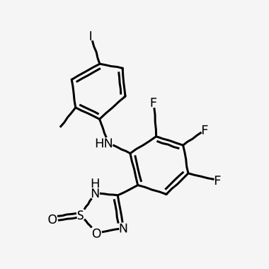 Cc1cc(I)ccc1Nc1c(C2=NOS(=O)N2)cc(F)c(F)c1F